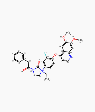 [CH2]C[N+]1(c2ccc(Oc3ccnc4cc(OC)c(OC)cc34)c(F)c2)CCN(C(=O)Cc2ccccc2)C1=O